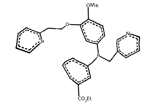 CCOC(=O)c1cccc(N(Cc2cccnc2)c2ccc(OC)c(OCCc3ccccn3)c2)c1